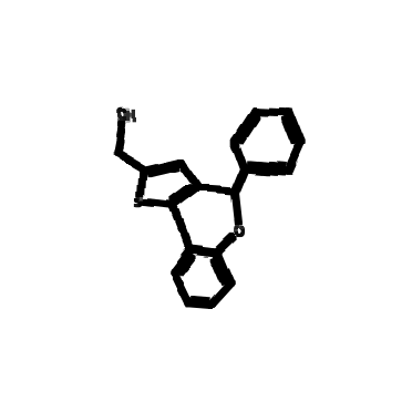 OCc1cc2c(s1)-c1ccccc1OC2c1ccccc1